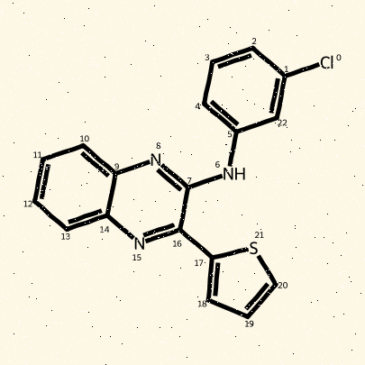 Clc1cccc(Nc2nc3ccccc3nc2-c2cccs2)c1